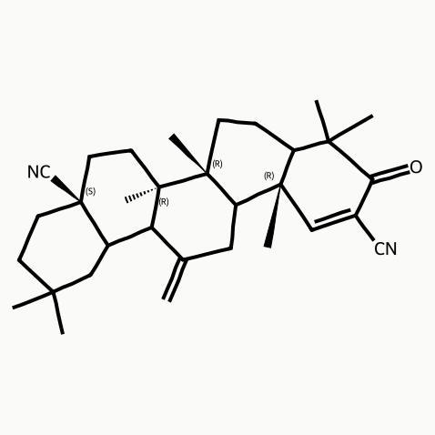 C=C1CC2[C@@]3(C)C=C(C#N)C(=O)C(C)(C)C3CC[C@@]2(C)[C@]2(C)CC[C@@]3(C#N)CCC(C)(C)CC3C12